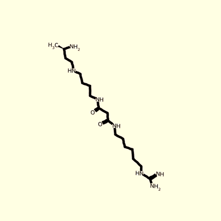 C[C@@H](N)CCNCCCCNC(=O)CC(=O)NCCCCCCNC(=N)N